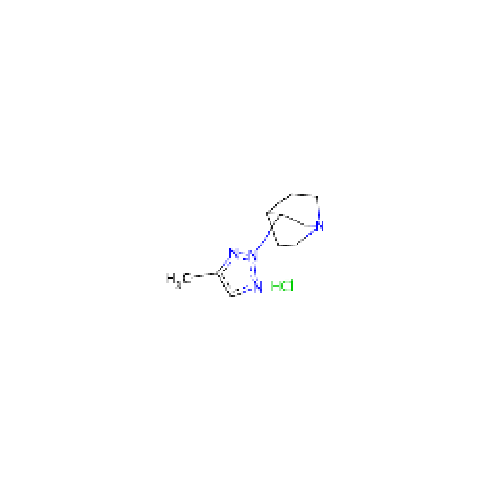 Cc1cnn(C2CN3CCC2CC3)n1.Cl